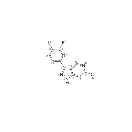 Fc1nc(-c2n[nH]c3cc(Cl)ncc23)ccc1I